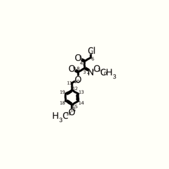 CON=C(C(=O)CCl)C(=O)OCc1ccc(OC)cc1